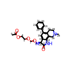 CC(=O)OCCOCO/N=C1/C(=O)Nc2c1cc(-c1ccccc1)c1c2CN(C)CC1